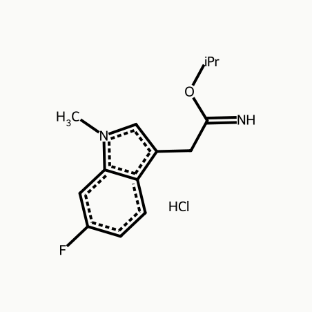 CC(C)OC(=N)Cc1cn(C)c2cc(F)ccc12.Cl